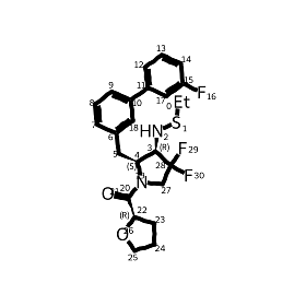 CCSN[C@@H]1[C@H](Cc2cccc(-c3cccc(F)c3)c2)N(C(=O)[C@H]2CCCO2)CC1(F)F